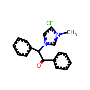 Cn1cc[n+](C(C(=O)c2ccccc2)c2ccccc2)c1.[Cl-]